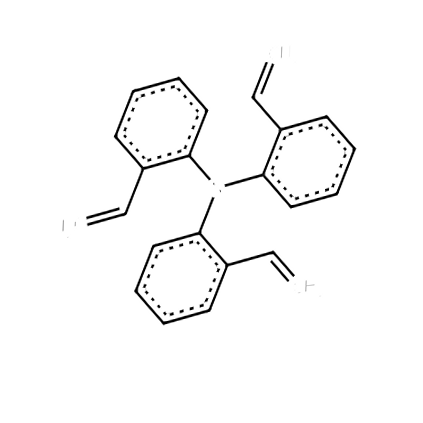 C=Cc1ccccc1N(c1ccccc1C=C)c1ccccc1C=C